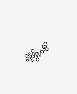 C1=CC2Oc3c(-c4ccc(-c5cc(-c6ccccc6-c6cccc7c6Oc6ccccc6C76c7ccccc7-c7ccccc76)nc(-c6ccccc6)n5)cc4)cccc3C2C=C1